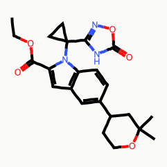 CCOC(=O)c1cc2cc(C3CCOC(C)(C)C3)ccc2n1C1(c2noc(=O)[nH]2)CC1